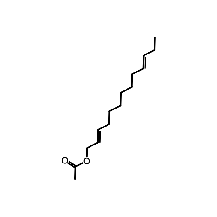 CCC=CCCCCCCC=CCOC(C)=O